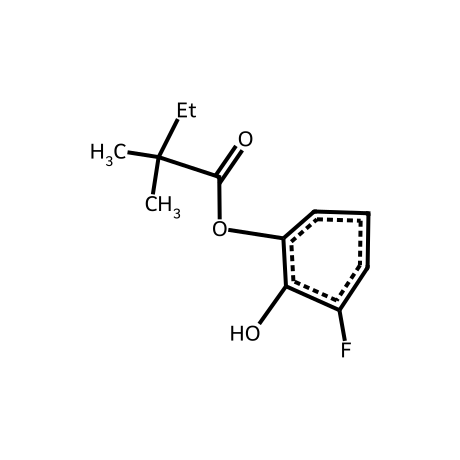 CCC(C)(C)C(=O)Oc1cccc(F)c1O